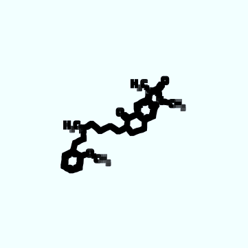 COc1ccccc1CCN(C)CCCCC1CCc2cc3c(cc2C1=O)n(C)c(=O)n3C